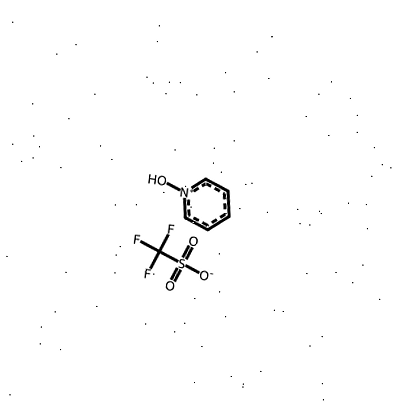 O=S(=O)([O-])C(F)(F)F.O[n+]1ccccc1